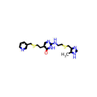 Cc1[nH]cnc1CSCCNc1ncc(CCSCc2cccnc2)c(=O)[nH]1